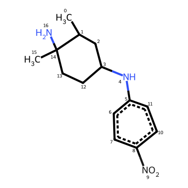 CC1CC(Nc2ccc([N+](=O)[O-])cc2)CCC1(C)N